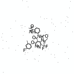 Cc1cc(F)ccc1Oc1nnc(C(F)(F)F)c(N2CCOCC2)c1C(=O)Nc1cccc(S(C)(=N)=O)c1